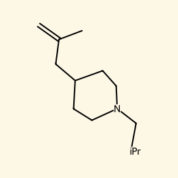 C=C(C)CC1CCN(CC(C)C)CC1